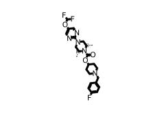 C[C@@H]1CN(c2ncc(OC(F)F)cn2)C[C@H](C)N1C(=O)OC1CCN(Cc2ccc(F)cc2)CC1